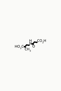 CC(CCNC(=O)CCC(=O)O)C(=O)O